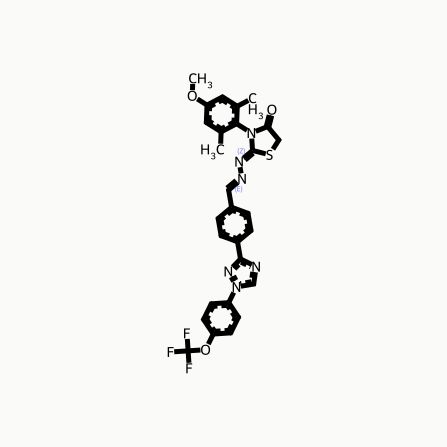 COc1cc(C)c(N2C(=O)CS/C2=N\N=C\c2ccc(-c3ncn(-c4ccc(OC(F)(F)F)cc4)n3)cc2)c(C)c1